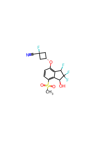 CS(=O)(=O)c1ccc(O[C@H]2C[C@@](F)(C#N)C2)c2c1[C@H](O)C(F)(F)[C@@H]2F